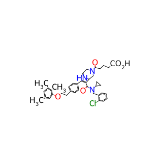 Cc1cc(C)c(C)c(OCCc2ccc(C3=C(C(=O)N(Cc4ccccc4Cl)C4CC4)C4CN(C(=O)CCCC(=O)O)CC(C3)N4)cc2)c1